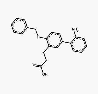 Nc1ccccc1-c1ccc(OCc2ccccc2)c(CCC(=O)O)c1